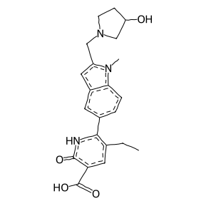 CCc1cc(C(=O)O)c(=O)[nH]c1-c1ccc2c(c1)cc(CN1CCC(O)C1)n2C